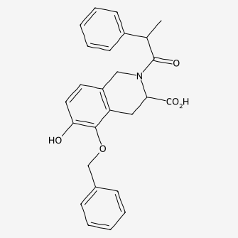 CC(C(=O)N1Cc2ccc(O)c(OCc3ccccc3)c2CC1C(=O)O)c1ccccc1